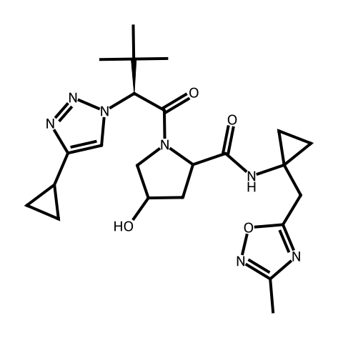 Cc1noc(CC2(NC(=O)C3CC(O)CN3C(=O)[C@@H](n3cc(C4CC4)nn3)C(C)(C)C)CC2)n1